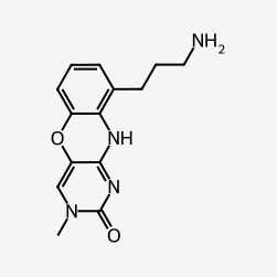 Cn1cc2c(nc1=O)Nc1c(CCCN)cccc1O2